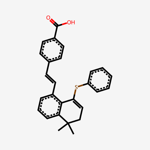 CC1(C)CC=C(Sc2ccccc2)c2c(/C=C/c3ccc(C(=O)O)cc3)cccc21